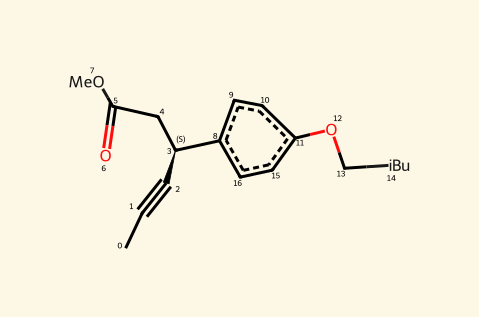 CC#C[C@@H](CC(=O)OC)c1ccc(OCC(C)CC)cc1